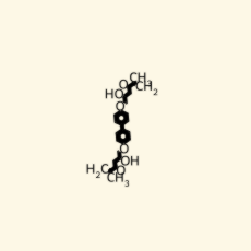 C=C(C)C(=O)CC(O)COc1ccc(-c2ccc(OCC(O)CC(=O)C(=C)C)cc2)cc1